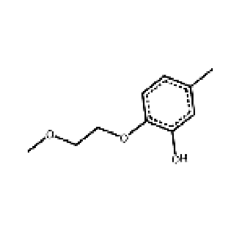 COCCOc1ccc(C)cc1O